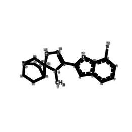 CN1C(c2cc3cccc(F)c3o2)=NO[C@@]12CN1CCC2CC1